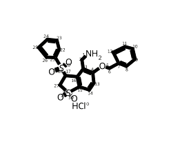 Cl.NCc1c(OCc2ccccc2)ccc2c1C(S(=O)(=O)c1ccccc1)CS2(=O)=O